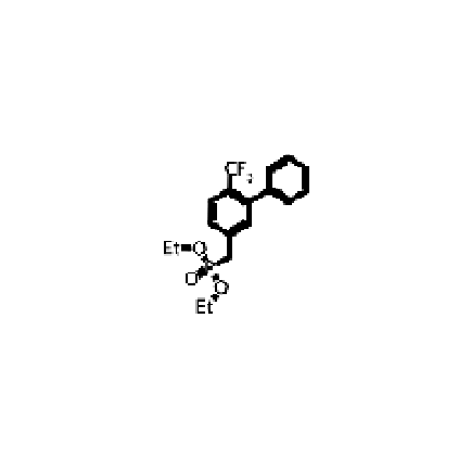 CCOP(=O)(Cc1ccc(C(F)(F)F)c(-c2ccccc2)c1)OCC